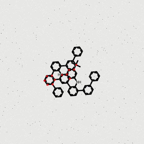 CC(C)(C)c1cc(Nc2c(-c3cccc(-c4ccccc4)c3)cccc2-c2cccc(-c3ccccc3)c2)cc(Nc2c(-c3cccc(-c4ccccc4)c3)cccc2-c2cccc(-c3ccccc3)c2)c1